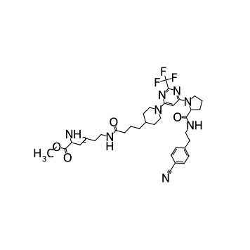 COC(=O)C(N)CCCCNC(=O)CCCC1CCN(c2cc(N3CCCC3C(=O)NCCc3ccc(C#N)cc3)nc(C(F)(F)F)n2)CC1